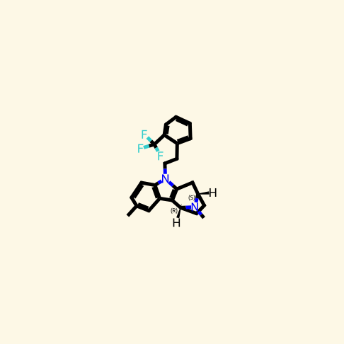 Cc1ccc2c(c1)c1c(n2CCc2ccccc2C(F)(F)F)C[C@@H]2CC[C@H]1N2C